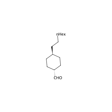 CCCCCCCC[C@H]1CC[C@H](C=O)CC1